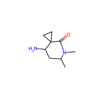 CC1CC(N)C2(CC2)C(=O)N1C